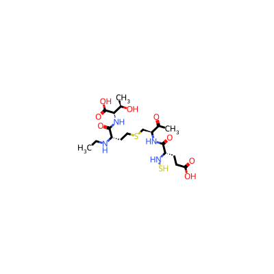 CCN[C@@H](CCSC[C@H](NC(=O)[C@H](CCC(=O)O)NS)C(C)=O)C(=O)N[C@H](C(=O)O)[C@@H](C)O